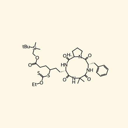 CCOC(=S)SC(CCC(=O)OC[Si](C)(C)C(C)(C)C)CC[C@@H]1NC(=O)[C@H]2CCCN2C(=O)[C@H](Cc2ccccc2)NC(=O)C(C)(C)NC1=O